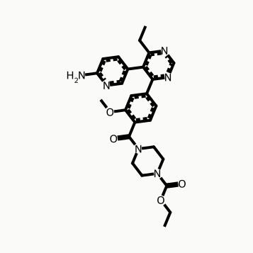 CCOC(=O)N1CCN(C(=O)c2ccc(-c3ncnc(CC)c3-c3ccc(N)nc3)cc2OC)CC1